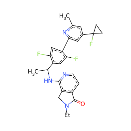 CCN1Cc2c(ccnc2NC(C)c2cc(F)c(-c3cc(C4(F)CC4)cc(C)n3)cc2F)C1=O